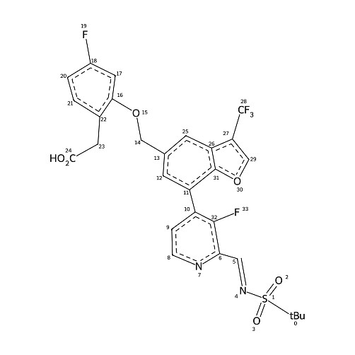 CC(C)(C)S(=O)(=O)N=Cc1nccc(-c2cc(COc3cc(F)ccc3CC(=O)O)cc3c(C(F)(F)F)coc23)c1F